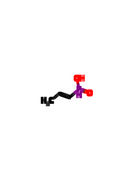 CC=C[PH](=O)O